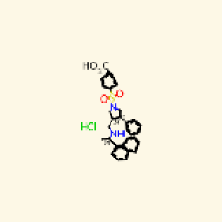 C[C@@H](NC[C@H]1CN(S(=O)(=O)c2ccc(C(=O)O)cc2)C[C@@H]1c1ccccc1)c1cccc2ccccc12.Cl